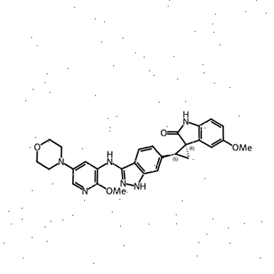 COc1ccc2c(c1)[C@]1(C[C@H]1c1ccc3c(Nc4cc(N5CCOCC5)cnc4OC)n[nH]c3c1)C(=O)N2